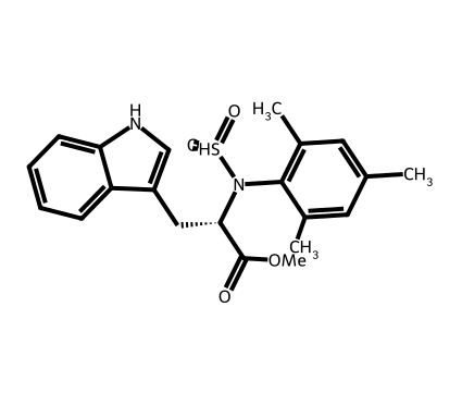 COC(=O)[C@H](Cc1c[nH]c2ccccc12)N(c1c(C)cc(C)cc1C)[SH](=O)=O